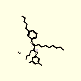 CCCCCCCCC(=N\c1cccc(CCCCC)c1)/C(CCCC)=N/c1cc(C)cc(C)c1.[Ni]